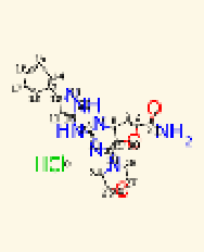 Cl.NC(=O)c1cc2nc(Nc3cc(-c4ccccc4)n[nH]3)nc(N3CCOCC3)c2o1